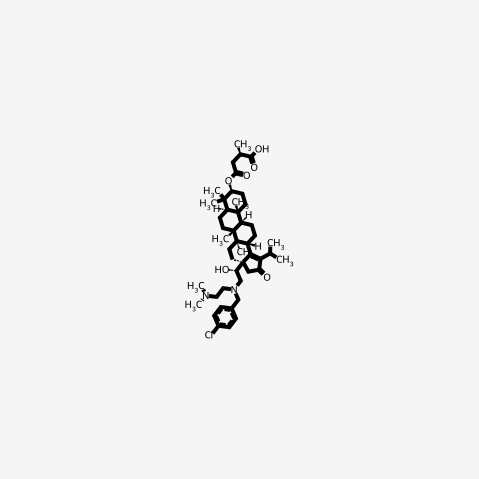 CC(C)C1=C2[C@H]3CC[C@@H]4[C@@]5(C)CC[C@H](OC(=O)C[C@@H](C)C(=O)O)C(C)(C)[C@@H]5CC[C@@]4(C)[C@]3(C)CC[C@@]2([C@@H](O)CN(CCN(C)C)Cc2ccc(Cl)cc2)CC1=O